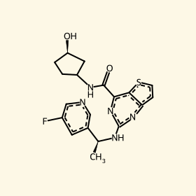 C[C@H](Nc1nc(C(=O)NC2CC[C@@H](O)C2)c2sccc2n1)c1cncc(F)c1